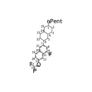 CCCCCC1CCC2CC(c3cc(F)c4cc(OC(F)F)ccc4c3)CCC2C1